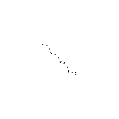 CCCCC=CSCl